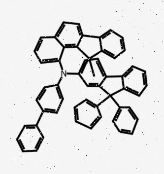 CC1(C)c2ccccc2-c2ccc3cccc(N(c4ccc(-c5ccccc5)cc4)c4ccc5c(c4)C(c4ccccc4)(c4ccccc4)c4ccccc4-5)c3c21